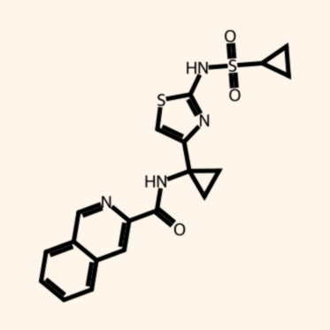 O=C(NC1(c2csc(NS(=O)(=O)C3CC3)n2)CC1)c1cc2ccccc2cn1